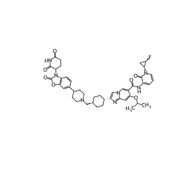 CC(C)Oc1cc2nc([C@H]3CC[C@H](CN4CCC(c5ccc6c(c5)oc(=O)n6C5CCC(=O)NC5=O)CC4)CC3)cn2cc1C(=O)Nc1cccn([C@H]2C[C@H]2F)c1=O